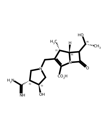 C[C@@H](O)C1C(=O)N2C(C(=O)O)=C(CN3C[C@@H](O)[C@H](C(=N)N)C3)[C@H](C)[C@H]12